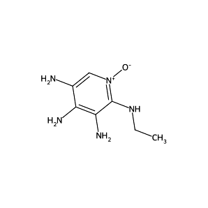 CCNc1c(N)c(N)c(N)c[n+]1[O-]